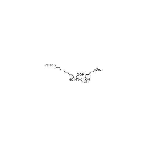 CCCCCCCCCCCCCCCCCCCC(O)C(=O)N[C@H](CO)[C@H](O)C(O)CCCCCCCCCCCCCC